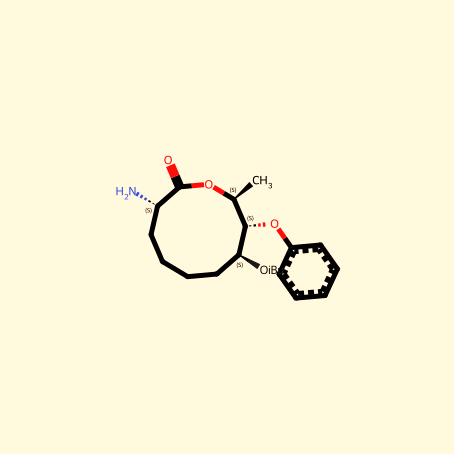 CC(C)CO[C@H]1CCCC[C@H](N)C(=O)O[C@@H](C)[C@@H]1Oc1ccccc1